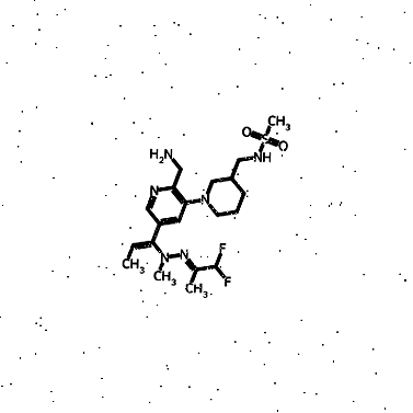 C/C=C(/c1cnc(CN)c(N2CCCC(CNS(C)(=O)=O)C2)c1)N(C)/N=C(\C)C(F)F